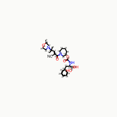 C[C@H]1CN(C(C)(C)C=C(C#N)C(=O)N2CCCC[C@@H](OC(=O)NC(Cc3ccccc3)B(O)O)C2)CCO1